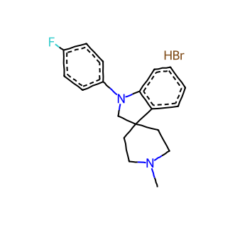 Br.CN1CCC2(CC1)CN(c1ccc(F)cc1)c1ccccc12